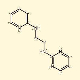 c1ccc(NCCNc2ncccn2)nc1